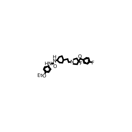 CCOc1ccc(NC(=O)NC2CCC(CCN3CCC(F)(C(=O)c4ccc(F)cc4)CC3)CC2)cc1